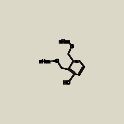 CCCCCCOCc1cccc(O)c1COCCCCCC